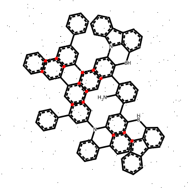 Nc1c(-c2cc(N(c3cc(-c4ccccc4)cc(-c4ccccc4)c3)c3ccccc3-c3ccccc3)cc3c2Bc2cccc4c5ccccc5n-3c24)cccc1-c1cc(N(c2cc(-c3ccccc3)cc(-c3ccccc3)c2)c2ccccc2-c2ccccc2)cc2c1Bc1cccc3c4ccccc4n-2c13